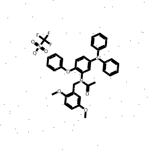 COc1ccc(OC)c(CN(C(C)=O)c2cc([S+](c3ccccc3)c3ccccc3)ccc2Oc2ccccc2)c1.O=S(=O)([O-])C(F)(F)F